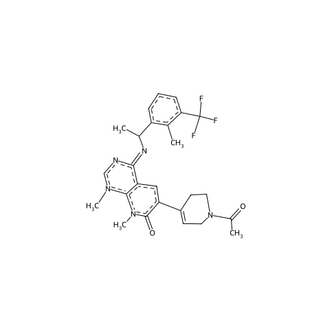 CC(=O)N1CC=C(c2cc3/c(=N/C(C)c4cccc(C(F)(F)F)c4C)ncn(C)c3n(C)c2=O)CC1